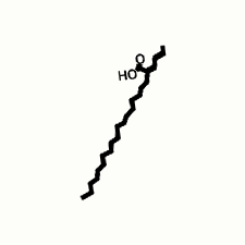 CC=CC=C(CCCCCCCCCCCCCCCCCC)C(=O)O